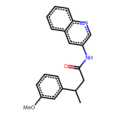 COc1cccc(C(C)CC(=O)Nc2cnc3ccccc3c2)c1